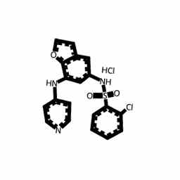 Cl.O=S(=O)(Nc1cc(Nc2ccncc2)c2occc2c1)c1ccccc1Cl